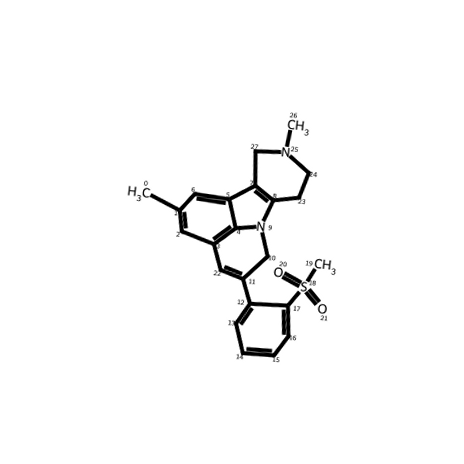 Cc1cc2c3c(c1)c1c(n3CC(c3ccccc3S(C)(=O)=O)=C2)CCN(C)C1